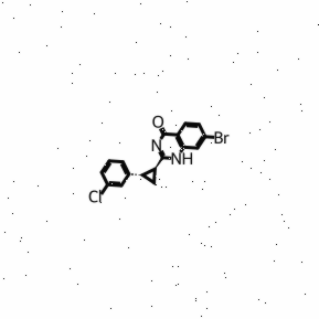 O=c1nc([C@H]2C[C@@H]2c2cccc(Cl)c2)[nH]c2cc(Br)ccc12